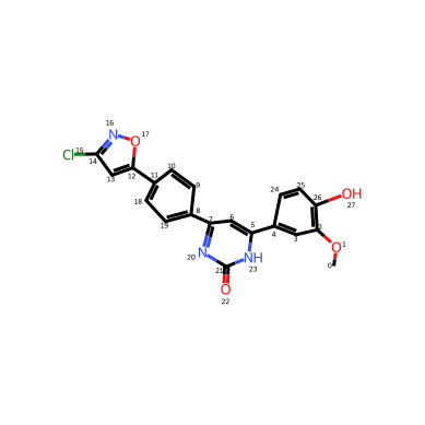 COc1cc(-c2cc(-c3ccc(-c4cc(Cl)no4)cc3)nc(=O)[nH]2)ccc1O